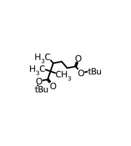 CC(CCC(=O)OC(C)(C)C)C(C)(C)C(=O)OC(C)(C)C